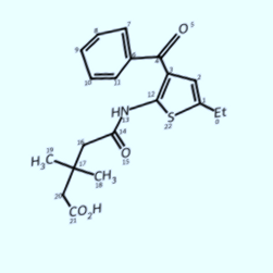 CCc1cc(C(=O)c2ccccc2)c(NC(=O)CC(C)(C)CC(=O)O)s1